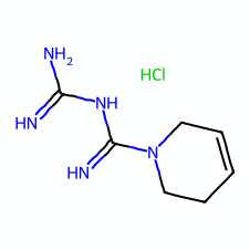 Cl.N=C(N)NC(=N)N1CC=CCC1